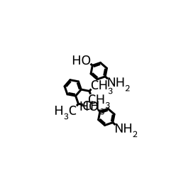 CC(C)c1ccccc1C(C)C.Nc1ccc(O)cc1.Nc1ccc(O)cc1